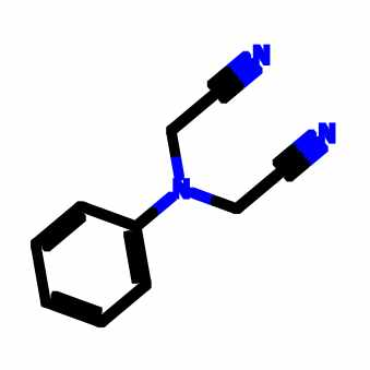 N#CCN(CC#N)c1ccccc1